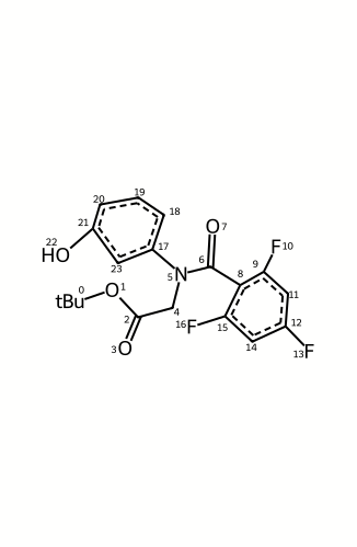 CC(C)(C)OC(=O)CN(C(=O)c1c(F)cc(F)cc1F)c1cccc(O)c1